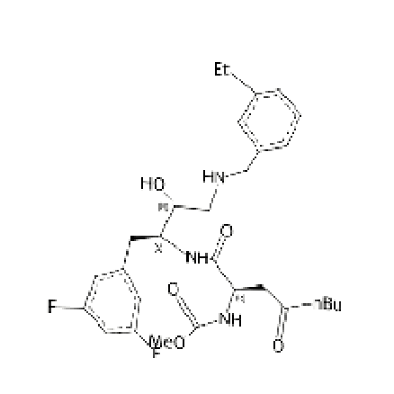 CCCCC(=O)C[C@@H](NC(=O)OC)C(=O)N[C@@H](Cc1cc(F)cc(F)c1)[C@H](O)CNCc1cccc(CC)c1